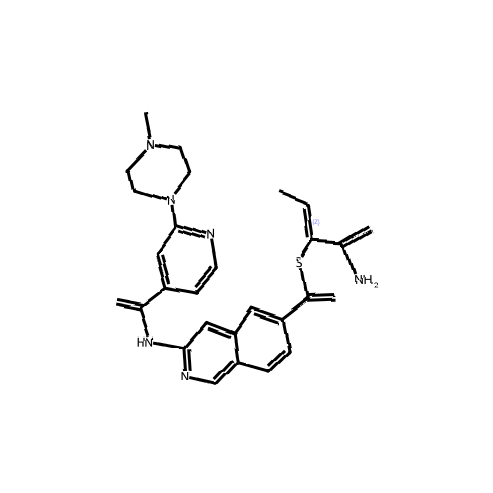 C=C(N)/C(=C/C)SC(=C)c1ccc2cnc(NC(=C)c3ccnc(N4CCN(C)CC4)c3)cc2c1